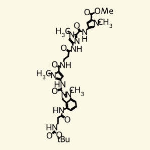 COC(=O)c1cc(NC(=O)c2nc(NC(=O)CCNC(=O)c3cc(NC(=O)N4Cc5c(NC(=O)CCNC(=O)OC(C)(C)C)cccc5N4C)cn3C)cn2C)cn1C